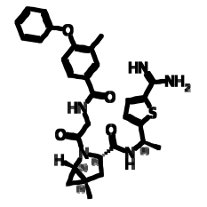 Cc1cc(C(=O)NCC(=O)N2[C@H]3C[C@@]3(C)C[C@H]2C(=O)N[C@H](C)c2ccc(C(=N)N)s2)ccc1Oc1ccccc1